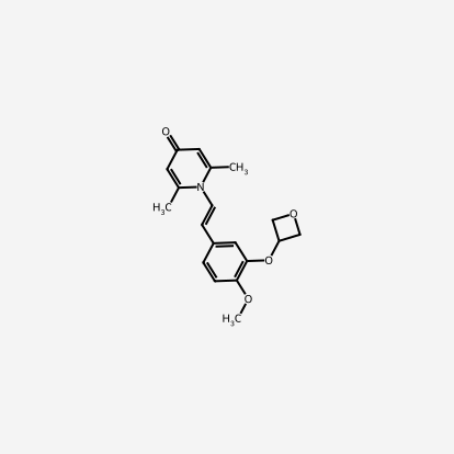 COc1ccc(/C=C/n2c(C)cc(=O)cc2C)cc1OC1COC1